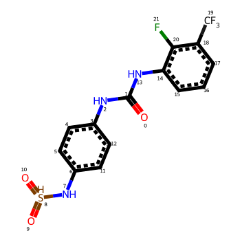 O=C(Nc1ccc(N[SH](=O)=O)cc1)Nc1cccc(C(F)(F)F)c1F